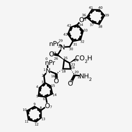 CCCN(Cc1ccc(Oc2ccccc2)cc1)C(=O)[C@H]1[C@@H](C(N)=O)[C@H](C(=O)O)[C@@H]1C(=O)N(CCC)Cc1ccc(Oc2ccccc2)cc1